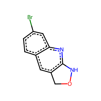 Brc1ccc2cc3c(nc2c1)NOC3